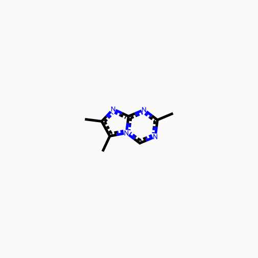 Cc1ncn2c(C)c(C)nc2n1